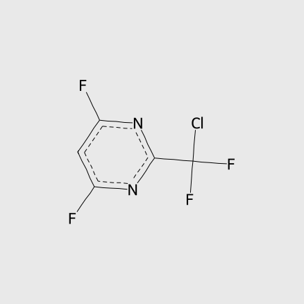 Fc1cc(F)nc(C(F)(F)Cl)n1